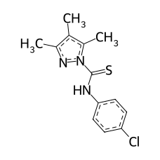 Cc1nn(C(=S)Nc2ccc(Cl)cc2)c(C)c1C